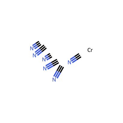 C#N.C#N.C#N.C#N.C#N.C#N.[Cr]